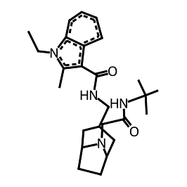 CCn1c(C)c(C(=O)NCC2CC3CCC(C2)N3CC(=O)NC(C)(C)C)c2ccccc21